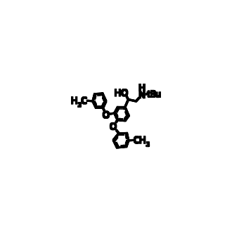 Cc1cccc(Oc2ccc(C(O)CNC(C)(C)C)cc2Oc2cccc(C)c2)c1